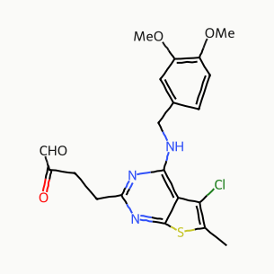 COc1ccc(CNc2nc(CCC(=O)C=O)nc3sc(C)c(Cl)c23)cc1OC